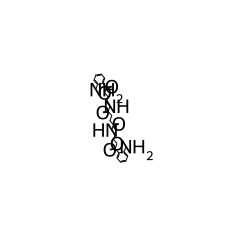 Nc1ccccc1C(=O)OCCNC(=O)CCC(=O)NCCOC(=O)c1ccccc1N